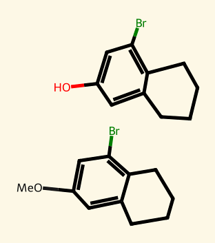 COc1cc(Br)c2c(c1)CCCC2.Oc1cc(Br)c2c(c1)CCCC2